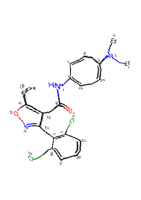 CCN(CC)c1ccc(NC(=O)c2c(-c3c(Cl)cccc3Cl)noc2C(C)C)cc1